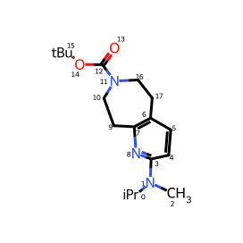 CC(C)N(C)c1ccc2c(n1)CCN(C(=O)OC(C)(C)C)CC2